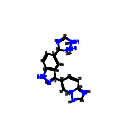 C1=NC(c2ccc3[nH]nc(-c4ccc5ncnn5c4)c3c2)NN1